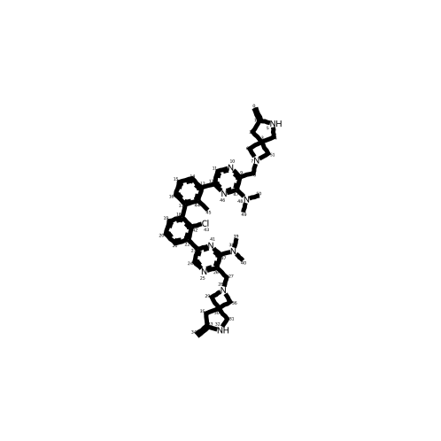 C=C1CC2(CN1)CN(Cc1ncc(-c3cccc(-c4cccc(-c5cnc(CN6CC7(CNC(=C)C7)C6)c(N(C)C)n5)c4Cl)c3C)nc1N(C)C)C2